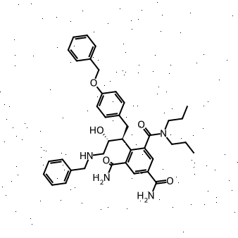 CCCN(CCC)C(=O)c1cc(C(N)=O)cc(C(N)=O)c1[C@H](Cc1ccc(OCc2ccccc2)cc1)[C@@H](O)CNCc1ccccc1